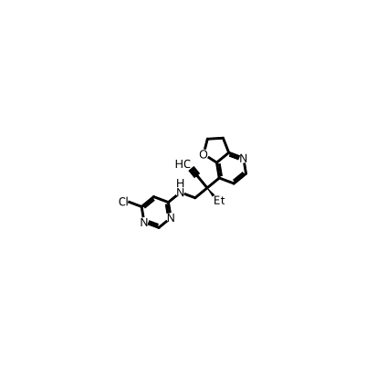 C#C[C@@](CC)(CNc1cc(Cl)ncn1)c1ccnc2c1OCC2